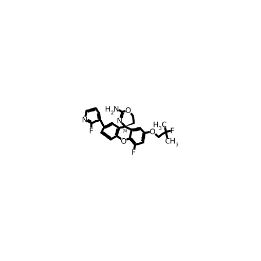 CC(C)(F)COc1cc(F)c2c(c1)[C@]1(CCOC(N)=N1)c1cc(-c3cccnc3F)ccc1O2